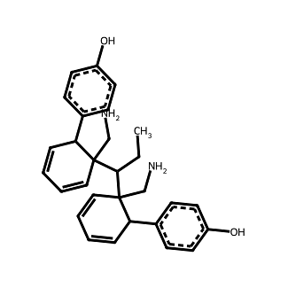 CCC(C1(CN)C=CC=CC1c1ccc(O)cc1)C1(CN)C=CC=CC1c1ccc(O)cc1